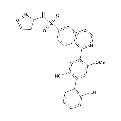 COc1cc(-c2ccccc2C)c(C#N)cc1-c1nccc2cc(S(=O)(=O)Nc3ccon3)ccc12